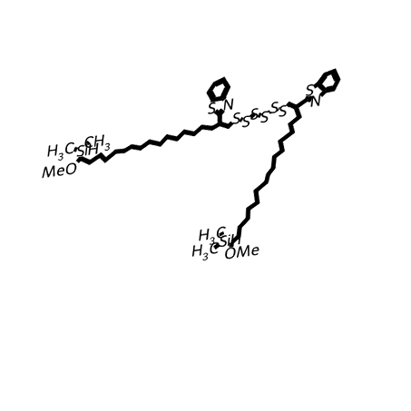 COC(CCCCCCCCCCCCCCCC(CSSSSSSCC(CCCCCCCCCCCCCCCC(OC)[SiH](C)C)c1nc2ccccc2s1)c1nc2ccccc2s1)[SiH](C)C